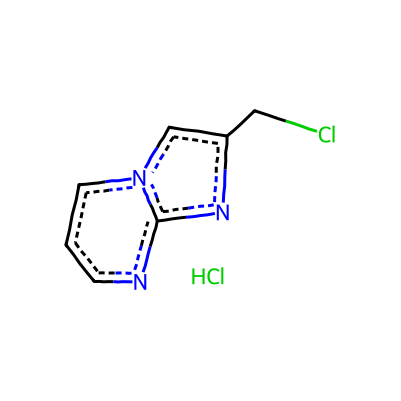 Cl.ClCc1cn2cccnc2n1